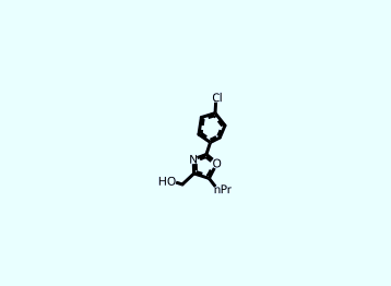 CCCc1oc(-c2ccc(Cl)cc2)nc1CO